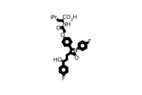 CC(C)C[C@@H](NC(=O)COc1ccc(C2C(CCC(O)c3ccc(F)cc3)C(=O)N2c2ccc(F)cc2)cc1)C(=O)O